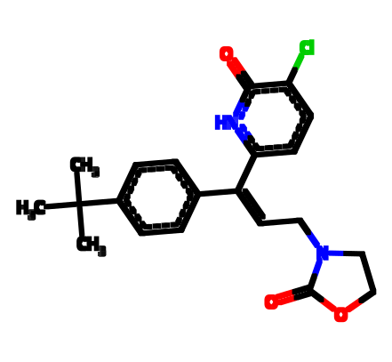 CC(C)(C)c1ccc(C(=CCN2CCOC2=O)c2ccc(Cl)c(=O)[nH]2)cc1